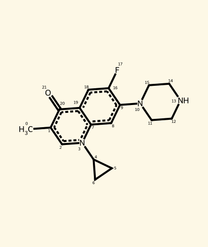 Cc1cn(C2CC2)c2cc(N3CCNCC3)c(F)cc2c1=O